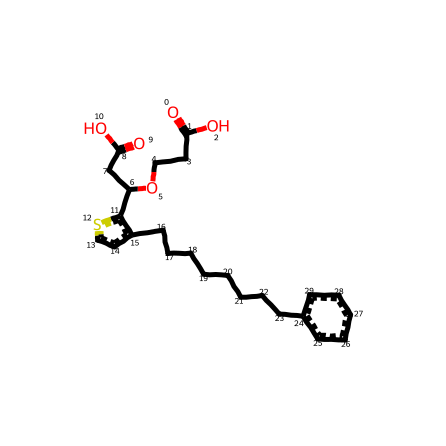 O=C(O)CCOC(CC(=O)O)c1sccc1CCCCCCCCc1ccccc1